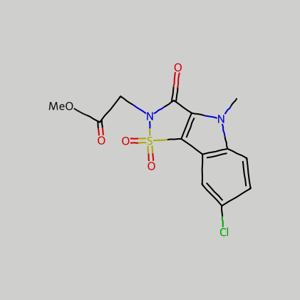 COC(=O)CN1C(=O)c2c(c3cc(Cl)ccc3n2C)S1(=O)=O